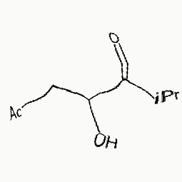 CC(=O)CC(O)C(=O)C(C)C